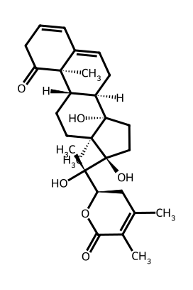 CC1=C(C)C(=O)O[C@@H]([C@](C)(O)[C@@]2(O)CC[C@]3(O)[C@@H]4CC=C5C=CCC(=O)[C@]5(C)[C@H]4CC[C@]23C)C1